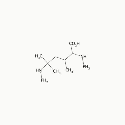 CC(CC(C)(C)NP)C(NP)C(=O)O